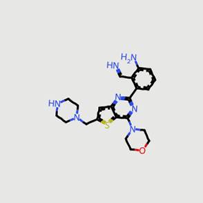 N=Cc1c(N)cccc1-c1nc(N2CCOCC2)c2sc(CN3CCNCC3)cc2n1